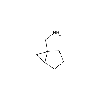 NCC12CCCC1C2